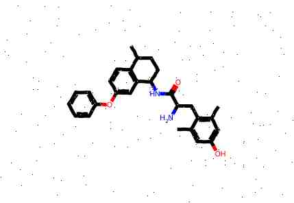 Cc1cc(O)cc(C)c1CC(N)C(=O)NC1CCC(C)c2ccc(Oc3ccccc3)cc21